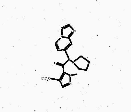 CCOC(=O)c1cnn(C)c1C(=O)N(c1ccn2ncnc2c1)N1CCCC1